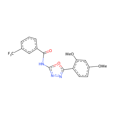 COc1ccc(-c2nnc(NC(=O)c3cccc(C(F)(F)F)c3)o2)c(OC)c1